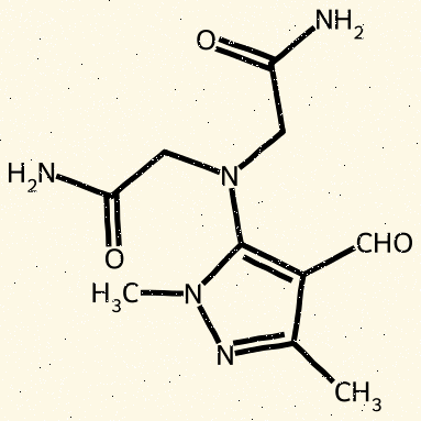 Cc1nn(C)c(N(CC(N)=O)CC(N)=O)c1C=O